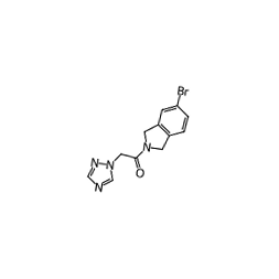 O=C(Cn1cncn1)N1Cc2ccc(Br)cc2C1